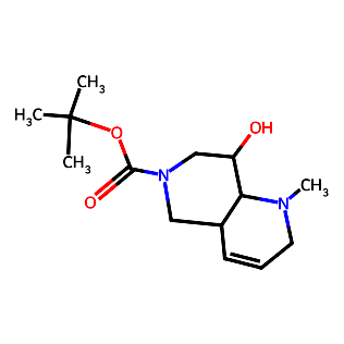 CN1CC=CC2CN(C(=O)OC(C)(C)C)CC(O)C21